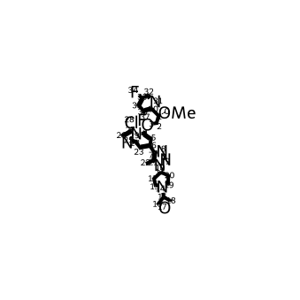 CO[C@H](COc1cc(-c2nnn(C3CCN(C4COC4)CC3)c2C)cc2ncc(Cl)n12)c1ncc(F)cc1F